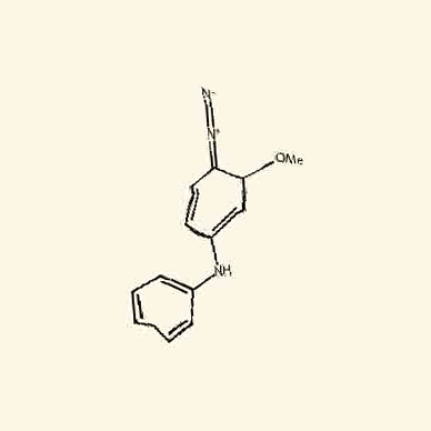 COC1C=C(Nc2ccccc2)C=CC1=[N+]=[N-]